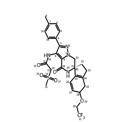 Cc1ccc(-c2nn3c(c2NC(=O)CS(C)(=O)=O)C(=O)N[C@@]2(CCC4=C2C=CC(OCC(F)(F)F)C4)C3)cc1